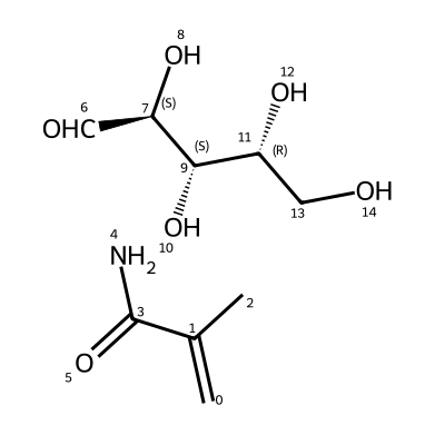 C=C(C)C(N)=O.O=C[C@@H](O)[C@@H](O)[C@H](O)CO